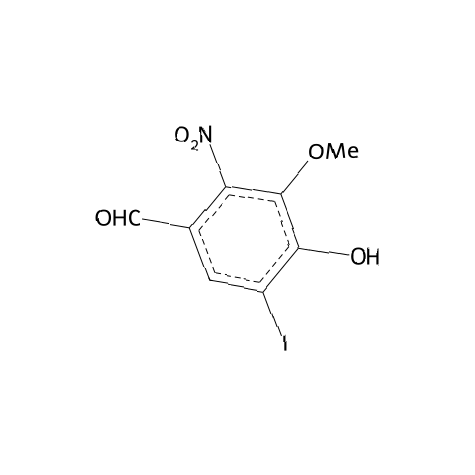 COc1c(O)c(I)cc(C=O)c1[N+](=O)[O-]